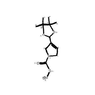 CC(C)(C)OC(=O)N1CC=C(C2OC(C)(C)C(C)(C)O2)C1